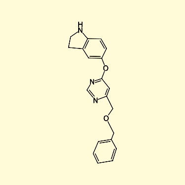 c1ccc(COCc2cc(Oc3ccc4c(c3)CCN4)ncn2)cc1